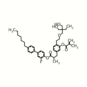 C=C(C)C(=O)Oc1cc(CC(C)C(=O)Oc2ccc(-c3ccc(CCCCCCC)cc3)cc2F)ccc1CCOCC(CC)(CO)CO